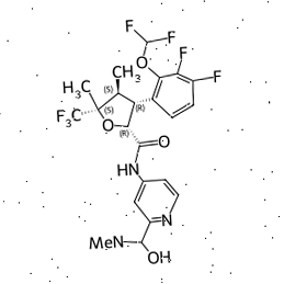 CNC(O)c1cc(NC(=O)[C@@H]2O[C@](C)(C(F)(F)F)[C@@H](C)[C@@H]2c2ccc(F)c(F)c2OC(F)F)ccn1